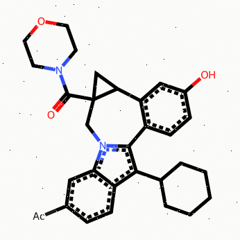 CC(=O)c1ccc2c(C3CCCCC3)c3n(c2c1)CC1(C(=O)N2CCOCC2)CC1c1cc(O)ccc1-3